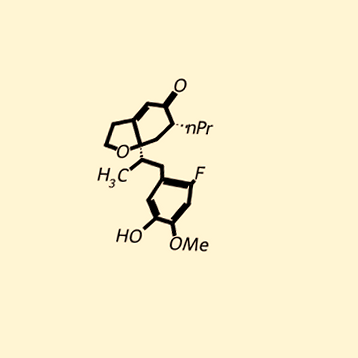 CCC[C@@H]1C[C@@]2(C(C)Cc3cc(O)c(OC)cc3F)OCCC2=CC1=O